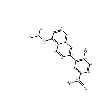 CC(C)Oc1nncc2cc(-c3cc(C(N)=O)ccc3Cl)ccc12